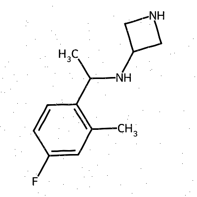 Cc1cc(F)ccc1C(C)NC1CNC1